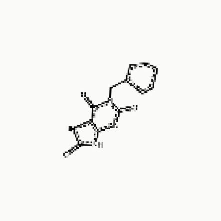 O=c1[nH]c2[nH]c(=O)n(Cc3ccccc3)c(=O)c2[nH]1